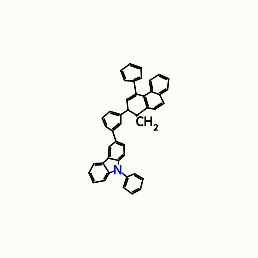 C=C1c2ccc3ccccc3c2C(c2ccccc2)=CC1c1cccc(-c2ccc3c(c2)c2ccccc2n3-c2ccccc2)c1